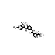 Cc1ccc(NC(=O)c2ccnc(C(C)(C)C)c2)cc1Nc1nn(C)c2nc(N)ncc12